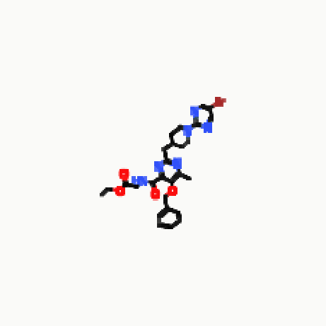 CCOC(=O)CNC(=O)c1nc(CC2CCN(c3ncc(Br)cn3)CC2)nc(C)c1OCc1ccccc1